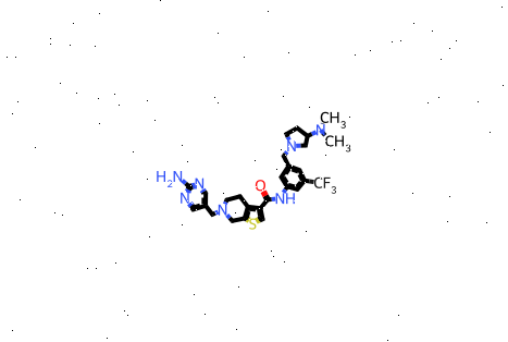 CN(C)C1CCN(Cc2cc(NC(=O)c3csc4c3CCN(Cc3cnc(N)nc3)C4)cc(C(F)(F)F)c2)C1